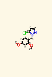 COc1ccc(Cn2nccc2Cl)c(OC)c1